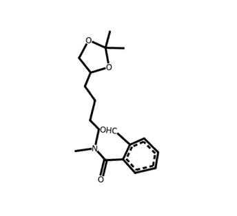 CN(CCCCC1COC(C)(C)O1)C(=O)c1ccccc1C=O